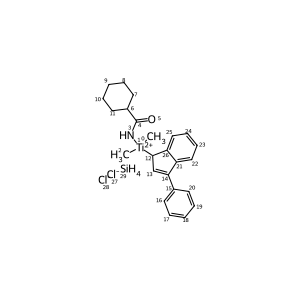 [CH3][Ti+2]([CH3])([NH]C(=O)C1CCCCC1)[CH]1C=C(c2ccccc2)c2ccccc21.[Cl-].[Cl-].[SiH4]